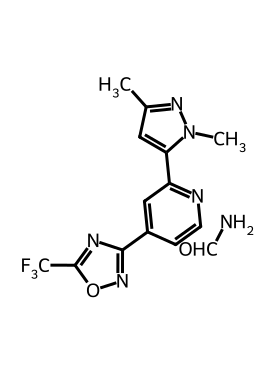 Cc1cc(-c2cc(-c3noc(C(F)(F)F)n3)ccn2)n(C)n1.NC=O